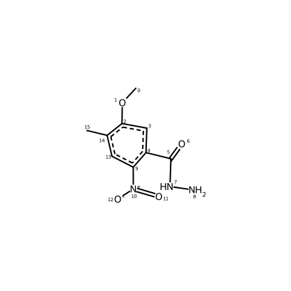 COc1cc(C(=O)NN)c([N+](=O)[O-])cc1C